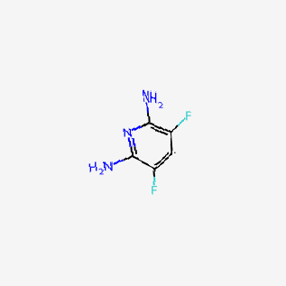 Nc1nc(N)c(F)[c]c1F